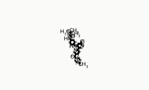 CN1CCN(C(=O)c2ccc(-c3cnc(Cl)cc3NC3CCC(NC(=O)OC(C)(C)C)CC3)nc2)CC1